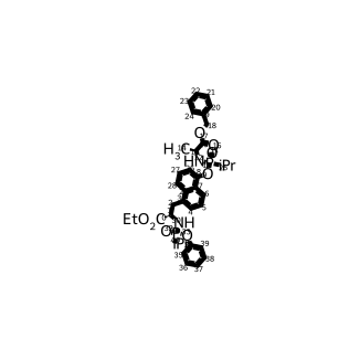 CCOC(=O)[C@H](Cc1cccc2c(OP(=O)(N[C@@H](C)C(=O)OCc3ccccc3)C(C)C)cccc12)NP(=O)(Oc1ccccc1)C(C)C